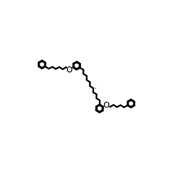 [CH](CCCCCCc1cccc(OCCCCCCc2ccccc2)c1)CCCCc1ccccc1OCCCCCc1ccccc1